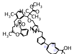 COC(=O)C(C)(C)C(OCc1cn(Cc2cccc(C3=C/CCC/C(C(=O)O)=C/C=C\3)c2)nn1)c1ccc(C)c(CN2C[C@@H](C)Oc3ccccc3S2(=O)=O)c1